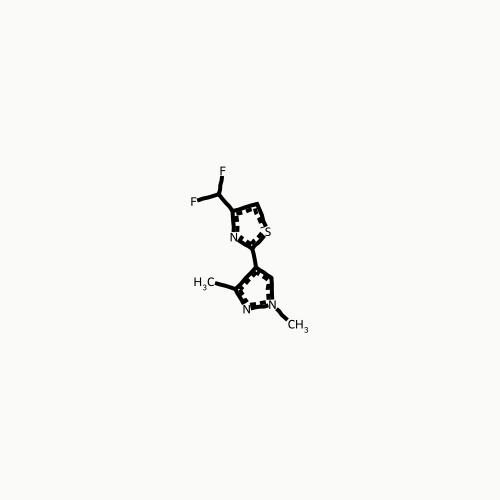 Cc1nn(C)cc1-c1nc(C(F)F)cs1